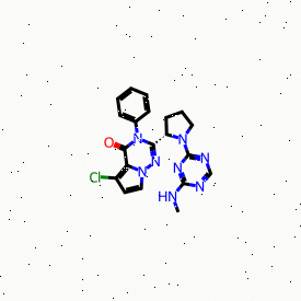 CNc1ncnc(N2CCC[C@H]2c2nn3ccc(Cl)c3c(=O)n2-c2ccccc2)n1